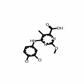 COc1nc(Nc2ccc(Cl)c(Cl)c2)c(C)c(C(=O)O)n1